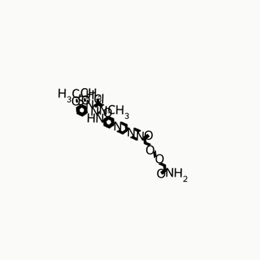 COc1cc(N2CCC(N3CCN(C(=O)CCOCCOCCC(N)=O)CC3)CC2)ccc1Nc1ncc(Cl)c(Nc2ccccc2S(=O)(=O)C(C)C)n1